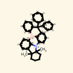 CC12CCCCC1(C)N1c3cccc4c3B(c3ccccc3C4(c3ccccc3)c3ccccc3)c3cccc2c31